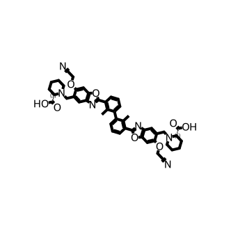 Cc1c(-c2nc3cc(CN4CCCC[C@H]4C(=O)O)c(OCC#N)cc3o2)cccc1-c1cccc(-c2nc3cc(CN4CCCC[C@H]4C(=O)O)c(OCC#N)cc3o2)c1C